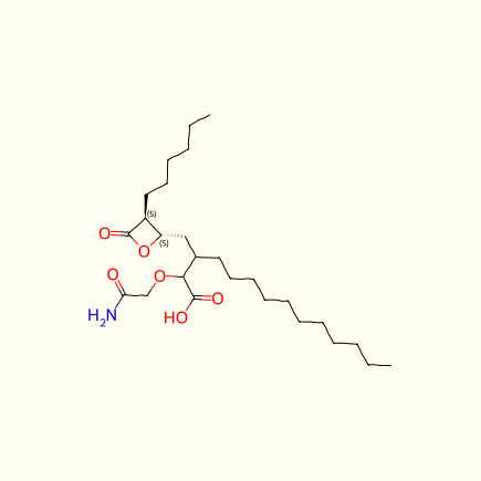 CCCCCCCCCCCC(C[C@@H]1OC(=O)[C@H]1CCCCCC)C(OCC(N)=O)C(=O)O